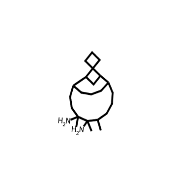 CC1CCCC2CCCC(CCC(C)(N)C1(C)N)C1CC2C12CCC2